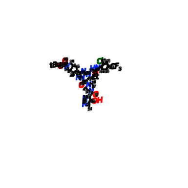 CCc1c(N2CCN(C(=O)c3ncnc(C)c3O)CC2)c(=O)n2nc(C3=CC4CN(C(=O)OC(C)(C)C)CC4C3)nc2n1CC(=O)Nc1ccc(C(F)(F)F)cc1Cl